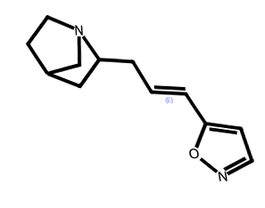 C(=C\c1ccno1)/CC1CC2CCN1C2